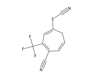 N#CSC1=CC(C(F)(F)F)=C(C#N)C=CC1